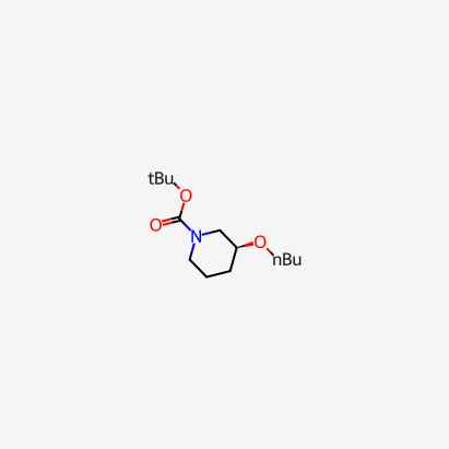 CCCCO[C@H]1CCCN(C(=O)OC(C)(C)C)C1